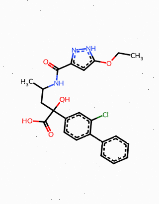 CCOc1cc(C(=O)NC(C)CC(O)(C(=O)O)c2ccc(-c3ccccc3)c(Cl)c2)n[nH]1